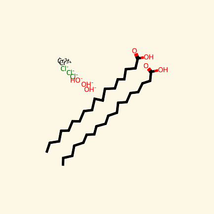 CCCCCCCCCCCCCCCCCC(=O)O.CCCCCCCCCCCCCCCCCC(=O)O.[Cl-].[Cl-].[Cl-].[Cr+3].[Cr+3].[OH-].[OH-].[OH-]